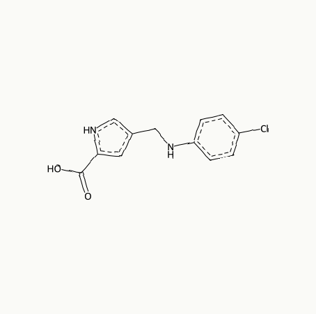 O=C(O)c1cc(CNc2ccc(Cl)cc2)c[nH]1